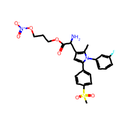 Cc1c(C(N)C(=O)OCCCO[N+](=O)[O-])cc(-c2ccc(S(C)(=O)=O)cc2)n1-c1cccc(F)c1